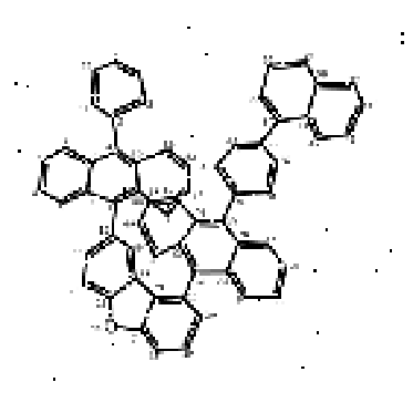 c1ccc(-c2c3ccccc3c(-c3ccc4oc5cccc(-c6c7ccccc7c(-c7ccc(-c8cccc9ccccc89)cc7)c7ccccc67)c5c4c3)c3ccccc23)cc1